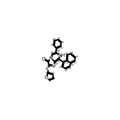 O=c1c(Cc2ccco2)nc2c(-c3cccc4ccccc34)[nH]c(-c3ccccc3)cn1-2